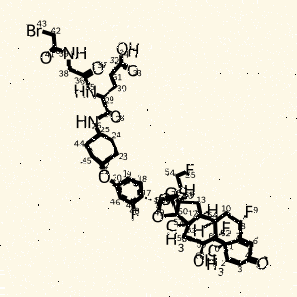 C[C@]12C=CC(=O)C=C1[C@@H](F)C[C@H]1[C@@H]3C[C@H]4O[C@@H](c5ccc(OC6CCC(NC(=O)[C@H](CCC(=O)O)NC(=O)CNC(=O)CBr)CC6)cc5F)O[C@@]4(C(=O)SCF)[C@@]3(C)C[C@H](O)[C@@]12F